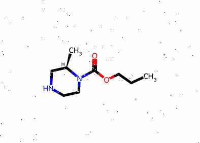 CCCOC(=O)N1CCNC[C@H]1C